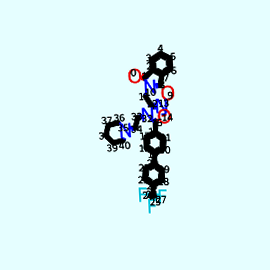 O=C1c2ccccc2C(=O)N1CC1=NOC(c2ccc(-c3ccc(C(F)(F)F)cc3)cc2)N1CCN1CCCCC1